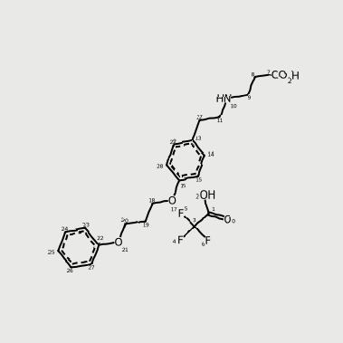 O=C(O)C(F)(F)F.O=C(O)CCNCCc1ccc(OCCCOc2ccccc2)cc1